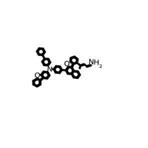 C/C(=C\C=C/N)c1cccc2oc3c(-c4ccc(N(c5ccc(-c6ccccc6)cc5)c5ccc6c(c5)oc5ccccc56)cc4)cc4ccccc4c3c12